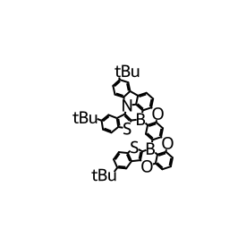 CC(C)(C)c1ccc2sc3c(c2c1)Oc1cccc2c1B3c1cc3c(cc1O2)Oc1ccc2c4cc(C(C)(C)C)ccc4n4c2c1B3c1sc2ccc(C(C)(C)C)cc2c1-4